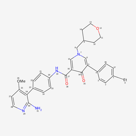 CCc1ccc(-c2cn(CC3CCOCC3)cc(C(=O)Nc3ccc(-c4c(OC)ccnc4N)cc3)c2=O)cc1